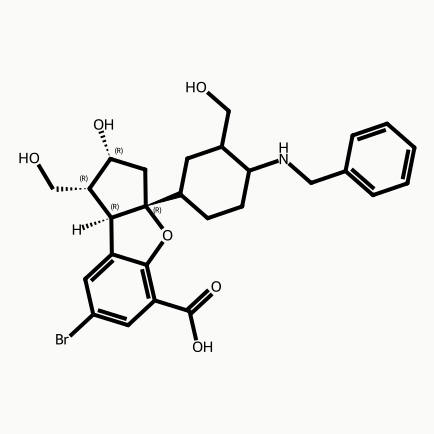 O=C(O)c1cc(Br)cc2c1O[C@@]1(C3CCC(NCc4ccccc4)C(CO)C3)C[C@@H](O)[C@@H](CO)[C@H]21